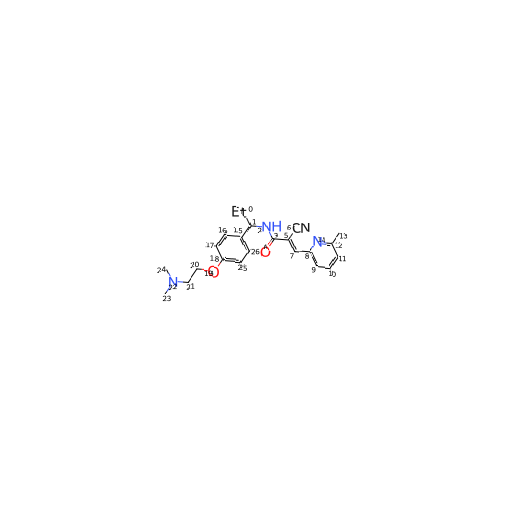 CCC(NC(=O)/C(C#N)=C/c1cccc(C)n1)c1ccc(OCCN(C)C)cc1